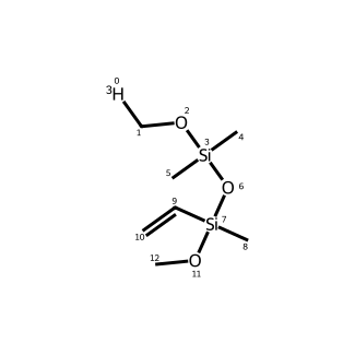 [3H]CO[Si](C)(C)O[Si](C)(C=C)OC